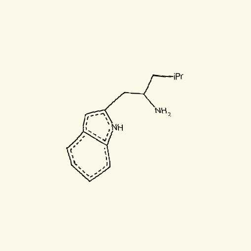 CC(C)CC(N)Cc1cc2ccccc2[nH]1